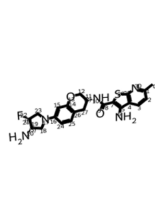 Cc1ccc2c(N)c(C(=O)N[C@H]3COc4cc(N5C[C@H](N)[C@@H](F)C5)ccc4C3)sc2n1